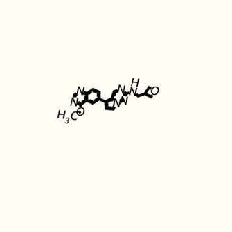 COc1ncnc2ccc(-c3ccn4nc(NCC5COC5)ncc34)cc12